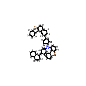 c1ccc2c(-c3ccc(N(c4ccc(-c5ccc6ccc7sc8ccccc8c7c6c5)cc4)c4cccc5sc6ccccc6c45)cc3)cccc2c1